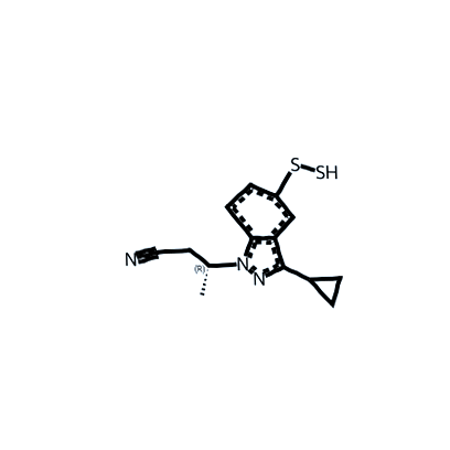 C[C@H](CC#N)n1nc(C2CC2)c2cc(SS)ccc21